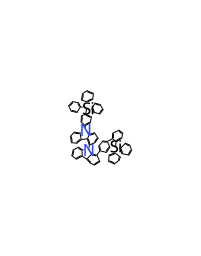 c1ccc([Si](c2ccccc2)(c2ccccc2)c2ccc(-n3c4ccccc4c4c(-n5c6ccccc6c6cccc(-c7ccc8c(c7)[Si](c7ccccc7)(c7ccccc7)c7ccccc7-8)c65)cccc43)cc2)cc1